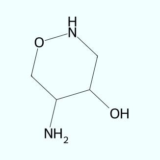 NC1CONCC1O